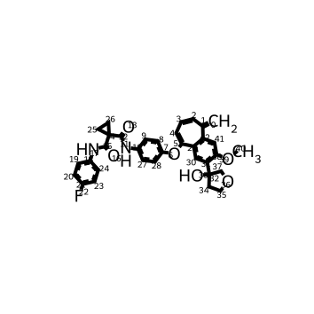 C=C1C=CC=C(Oc2ccc(NC(=O)C3(C(=O)Nc4ccc(F)cc4)CC3)cc2)c2cc(C3(O)CCOC3)c(OC)cc21